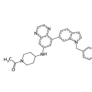 CC(=O)N1CCC(Nc2cc(-c3ccc4ccn(Cc5ccccc5)c4c3)c3nccnc3c2)CC1